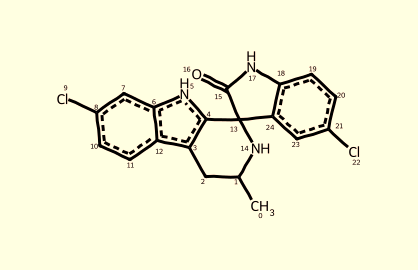 CC1Cc2c([nH]c3cc(Cl)ccc23)C2(N1)C(=O)Nc1ccc(Cl)cc12